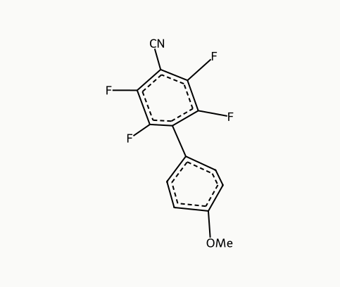 COc1ccc(-c2c(F)c(F)c(C#N)c(F)c2F)cc1